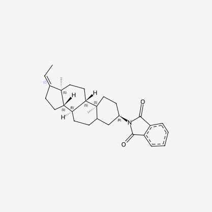 C/C=C1/CC[C@H]2[C@@H]3CCC4C[C@H](N5C(=O)c6ccccc6C5=O)CC[C@]4(C)[C@H]3CC[C@]12C